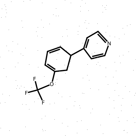 FC(F)(F)OC1=CC=[C]C(c2ccncc2)C1